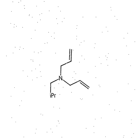 C=CCN(CC=C)CC(C)C